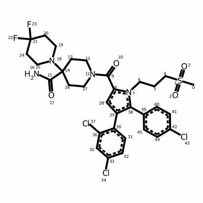 CS(=O)(=O)CCCn1c(C(=O)N2CCC(C(N)=O)(N3CCC(F)(F)CC3)CC2)cc(-c2ccc(Cl)cc2Cl)c1-c1ccc(Cl)cc1